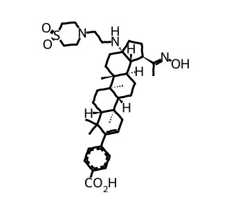 C/C(=N\O)[C@@H]1CC[C@]2(NCCN3CCS(=O)(=O)CC3)CC[C@]3(C)[C@H](CC[C@@H]4[C@@]5(C)CC=C(c6ccc(C(=O)O)cc6)C(C)(C)[C@@H]5CC[C@]43C)[C@@H]12